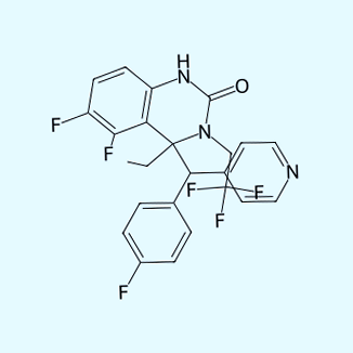 CCC1(C(c2ccncc2)c2ccc(F)cc2)c2c(ccc(F)c2F)NC(=O)N1CC(F)(F)F